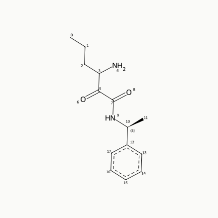 CCCC(N)C(=O)C(=O)N[C@@H](C)c1ccccc1